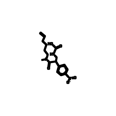 C=CCCCCN(C)C(=O)C(CNC(=O)O)c1ccc([N+](=O)[O-])cc1